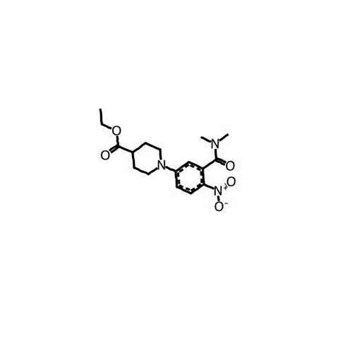 CCOC(=O)C1CCN(c2ccc([N+](=O)[O-])c(C(=O)N(C)C)c2)CC1